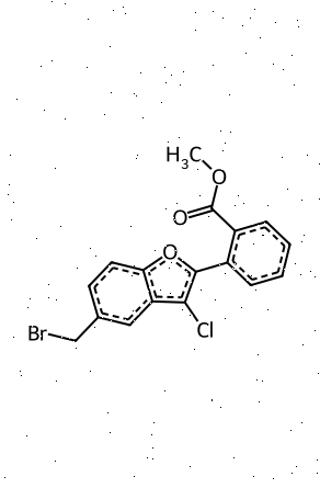 COC(=O)c1ccccc1-c1oc2ccc(CBr)cc2c1Cl